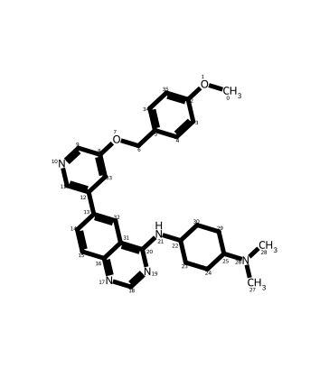 COc1ccc(COc2cncc(-c3ccc4ncnc(NC5CCC(N(C)C)CC5)c4c3)c2)cc1